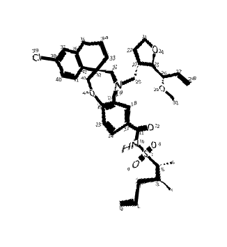 C=CC[C@H](C)[C@@H](C)S(=O)(=O)NC(=O)c1ccc2c(c1)N(C[C@@H]1CCO[C@H]1[C@H](C=C)OC)C[C@@]1(CCCc3cc(Cl)ccc31)CO2